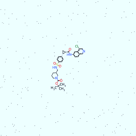 CC(C)(C)OC(=O)N1CCC[C@@H](CNS(=O)(=O)c2ccc([C@@H]3C[C@H]3C(=O)Nc3ccc4cncc(Cl)c4c3)cc2)C1